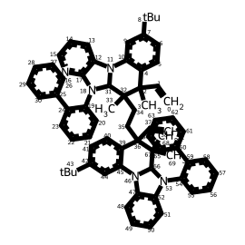 C=CC1(C)c2ccc(C(C)(C)C)cc2N2c3cccnc3N(c3ccccc3-c3ccccc3)C2C1(C)CCC1(C=C)c2ccc(C(C)(C)C)cc2N2c3ccccc3N(c3ccccc3-c3ccccc3)C2C1(C)C